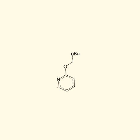 CCCCCOc1ccc[c]n1